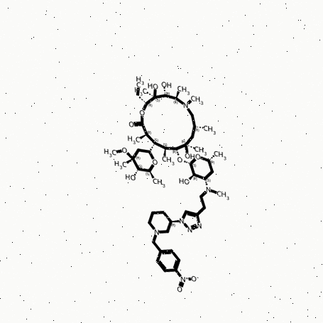 CC[C@H]1OC(=O)[C@H](C)[C@@H](C2C[C@@](C)(OC)[C@@H](O)[C@H](C)O2)[C@H](C)[C@@H](O[C@@H]2O[C@H](C)C[C@H](N(C)CCc3cn([C@@H]4CCCN(Cc5ccc([N+](=O)[O-])cc5)C4)nn3)[C@H]2O)[C@](C)(O)C[C@@H](C)CN(C)[C@H](C)[C@@H](O)[C@]1(C)O